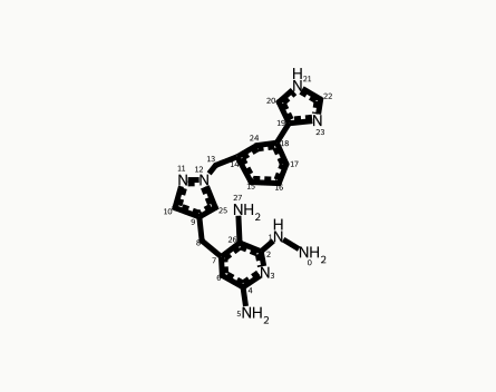 NNc1nc(N)cc(Cc2cnn(Cc3cccc(-c4c[nH]cn4)c3)c2)c1N